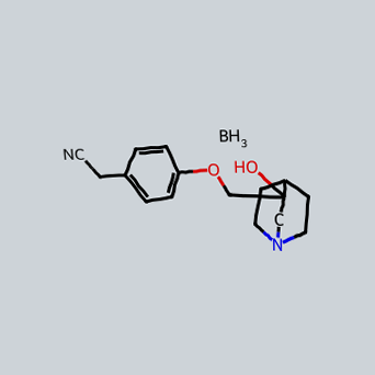 B.N#CCc1ccc(OCC2(O)CN3CCC2CC3)cc1